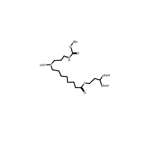 CCCCCCCCN(CCCCCCCC(=O)OCCC(CCCCC)CCCCC)CCCNC(=O)OC(C)(C)C